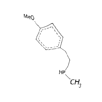 COc1ccc(CPC)cc1